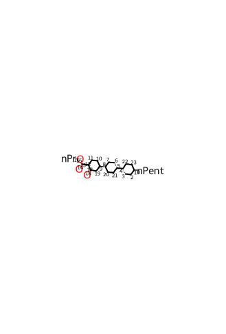 CCCCC[C@H]1CC[C@H]([C@H]2CC[C@H](C3CCC(C(=O)OCCC)C(=O)C3)CC2)CC1